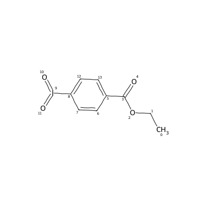 CCOC(=O)c1ccc(I(=O)=O)cc1